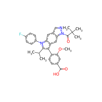 COc1cc(C(=O)O)ccc1-c1c(C(C)C)n(-c2ccc(F)cc2)c2cc3cnn(C(=O)C(C)(C)C)c3cc12